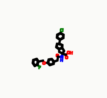 O=C(Cc1ccc(OCc2ccccc2F)cc1)NC1(C(=O)O)Cc2ccc(-c3ccc(Cl)cc3)cc2C1